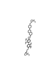 C/C=C/CCc1ccc(-c2ccc(OCC3CCC4CC(C5CCC(CCC)CC5)CCC4C3)c(F)c2F)c(F)c1F